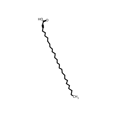 CCCCCCCCCCCCCCCCCCCCCCCCCCC#CC(=O)O